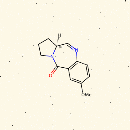 COc1ccc2c(c1)C(=O)N1CCC[C@H]1C=N2